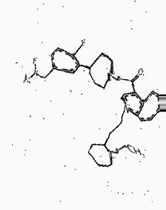 CC(=O)N(F)Cc1ccc(F)c(C2CCN(C(=O)c3cn(CCC4CCCCN4C)c4ccccc34)CC2)c1